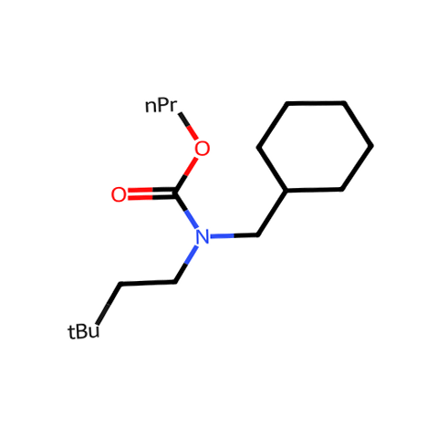 CCCOC(=O)N(CCC(C)(C)C)CC1CCCCC1